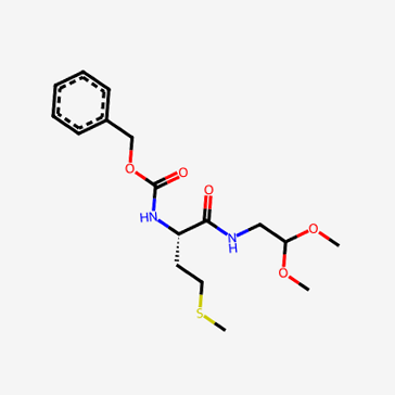 COC(CNC(=O)[C@H](CCSC)NC(=O)OCc1ccccc1)OC